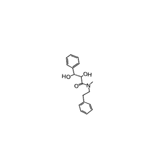 CN(CCc1ccccc1)C(=O)C(O)C(O)c1ccccc1